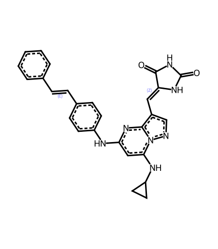 O=C1NC(=O)/C(=C/c2cnn3c(NC4CC4)cc(Nc4ccc(/C=C/c5ccccc5)cc4)nc23)N1